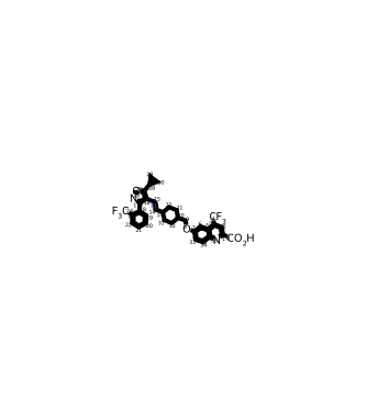 O=C(O)c1cc(C(F)(F)F)c2cc(OCC3CCC(/C=C/c4c(-c5ccccc5C(F)(F)F)noc4C4CC4)CC3)ccc2n1